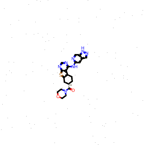 O=C([C@H]1CCc2c(sc3ncnc(Nc4cc5cn[nH]c5cn4)c23)C1)N1CCOCC1